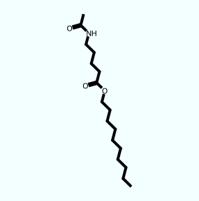 CCCCCCCCCCOC(=O)CCCCNC(C)=O